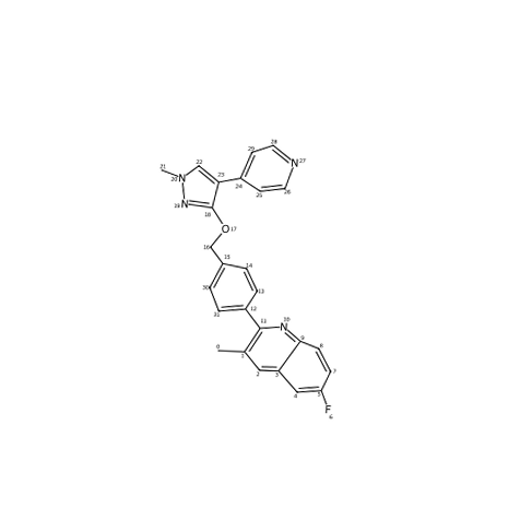 Cc1cc2cc(F)ccc2nc1-c1ccc(COc2nn(C)cc2-c2ccncc2)cc1